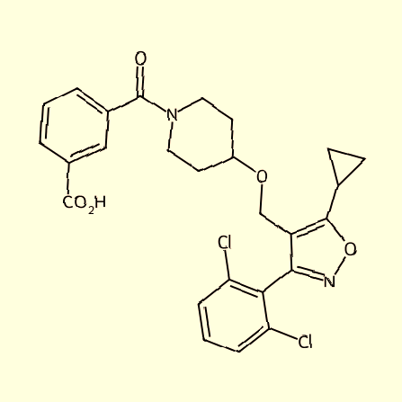 O=C(O)c1cccc(C(=O)N2CCC(OCc3c(-c4c(Cl)cccc4Cl)noc3C3CC3)CC2)c1